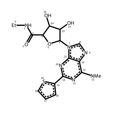 CCNC(=O)C1OC(n2cnc3c(NC)nc(-c4cccs4)nc32)C(O)C1O